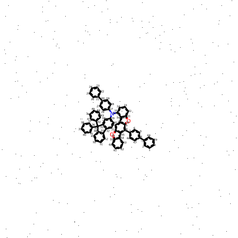 c1ccc(-c2ccc(-c3c4oc5cccc(N(c6ccc(-c7ccccc7)cc6)c6ccc7c(c6)C(c6ccccc6)(c6ccccc6)c6ccccc6-7)c5c4cc4oc5ccccc5c34)cc2)cc1